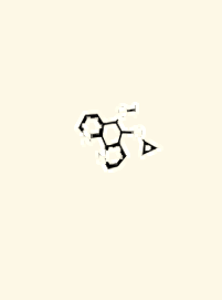 IOC1c2cccnc2-c2ncccc2C1OC1CC1